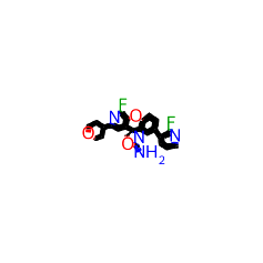 NC1=N[C@@]2(CO1)c1cc(-c3cccnc3F)ccc1Oc1c2cc(C2CCOCC2)nc1F